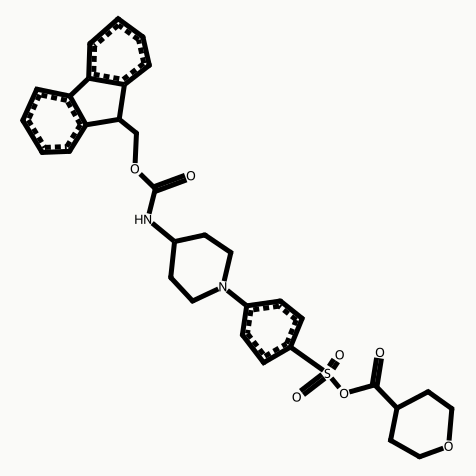 O=C(NC1CCN(c2ccc(S(=O)(=O)OC(=O)C3CCOCC3)cc2)CC1)OCC1c2ccccc2-c2ccccc21